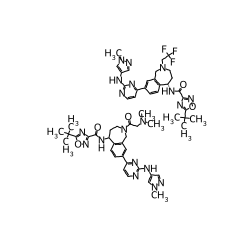 CN(C)CC(=O)N1CCC(NC(=O)c2noc(C(C)(C)C)n2)c2ccc(-c3ccnc(Nc4cnn(C)c4)n3)cc2C1.Cn1cc(Nc2nccc(-c3ccc4c(c3)CN(CC(F)(F)F)CC[C@@H]4NC(=O)c3noc(C(C)(C)C)n3)n2)cn1